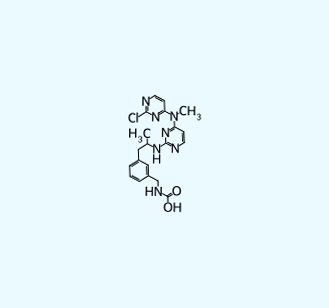 CC(Cc1cccc(CNC(=O)O)c1)Nc1nccc(N(C)c2ccnc(Cl)n2)n1